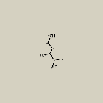 CC(C)C(C)C(S)CCO